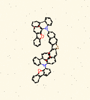 c1ccc(-c2ccccc2N(c2ccc3cc4sc5cc6ccc(N(c7ccccc7-c7ccccc7)c7cccc8c7oc7ccccc78)cc6cc5c4cc3c2)c2cccc3c2oc2ccccc23)cc1